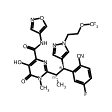 C[C@H](c1nc(C(=O)Nc2cnoc2)c(O)c(=O)n1C)[C@@H](c1cnn(CCOC(F)(F)F)c1)c1cc(F)ccc1C#N